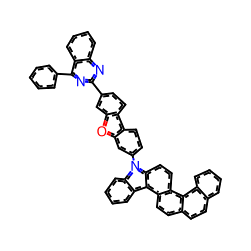 c1ccc(-c2nc(-c3ccc4c(c3)oc3cc(-n5c6ccccc6c6c7ccc8ccc9ccccc9c8c7ccc65)ccc34)nc3ccccc23)cc1